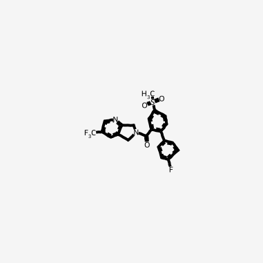 CS(=O)(=O)c1ccc(-c2ccc(F)cc2)c(C(=O)N2Cc3cc(C(F)(F)F)cnc3C2)c1